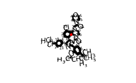 CC(C)Oc1cc(C(C)(C)C)ccc1C1=N[C@@H](c2ccc(Cl)cc2)[C@@H](c2ccc(Cl)cc2)N1C(=O)N1CCN(CC(=O)N2CCOCC2)CC1.Cl